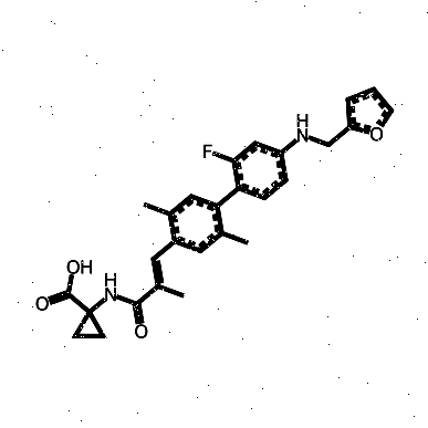 C/C(=C\c1cc(C)c(-c2ccc(NCc3ccco3)cc2F)cc1C)C(=O)NC1(C(=O)O)CC1